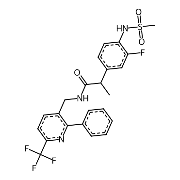 CC(C(=O)NCc1ccc(C(F)(F)F)nc1-c1ccccc1)c1ccc(NS(C)(=O)=O)c(F)c1